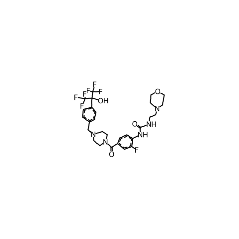 O=C(NCCN1CCOCC1)Nc1ccc(C(=O)N2CCN(Cc3ccc(C(O)(C(F)(F)F)C(F)(F)F)cc3)CC2)cc1F